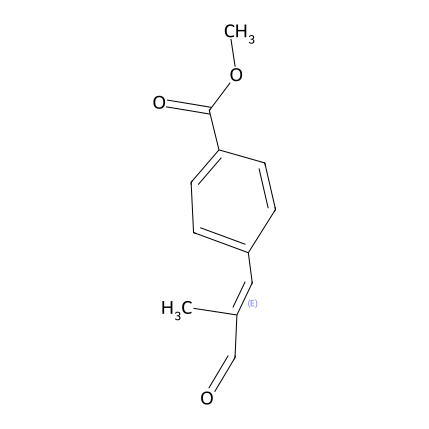 COC(=O)c1ccc(/C=C(\C)C=O)cc1